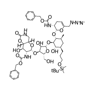 C[C@H]1C[C@@H](CCCO[Si](C)(C)C(C)(C)C)[C@H](O)[C@@H](O[C@@H]2O[C@H](CO)[C@@H](O[C@H]3O[C@H]4CNC(=O)O[C@H]4[C@H](O)[C@H]3NC(=O)OCc3ccccc3)[C@H]2O)[C@@H]1O[C@H]1OC(CN=[N+]=[N-])=CC[C@H]1NC(=O)OCc1ccccc1